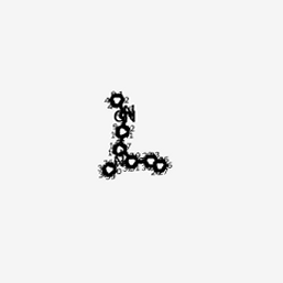 c1ccc(-c2nnc(-c3ccc(-c4ccc5c(c4)c4cc(-c6ccc7ccccc7c6)ccc4n5-c4ccccc4)cc3)o2)cc1